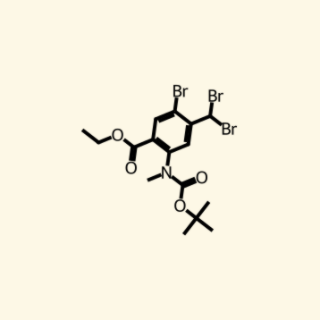 CCOC(=O)c1cc(Br)c(C(Br)Br)cc1N(C)C(=O)OC(C)(C)C